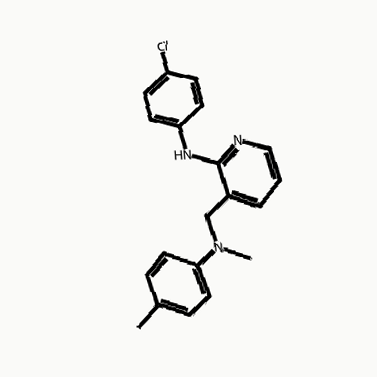 Cc1ccc(N(C)Cc2cccnc2Nc2ccc(Cl)cc2)cc1